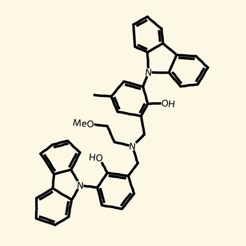 COCCN(Cc1cccc(-n2c3ccccc3c3ccccc32)c1O)Cc1cc(C)cc(-n2c3ccccc3c3ccccc32)c1O